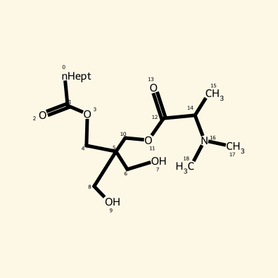 CCCCCCCC(=O)OCC(CO)(CO)COC(=O)C(C)N(C)C